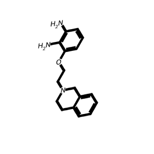 Nc1cccc(OCCN2CCc3ccccc3C2)c1N